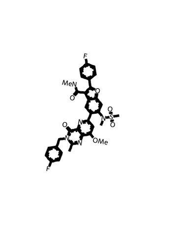 CNC(=O)c1c(-c2ccc(F)cc2)oc2cc(N(C)S(C)(=O)=O)c(-c3cc(OC)c4nc(C)n(Cc5ccc(F)cc5)c(=O)c4n3)cc12